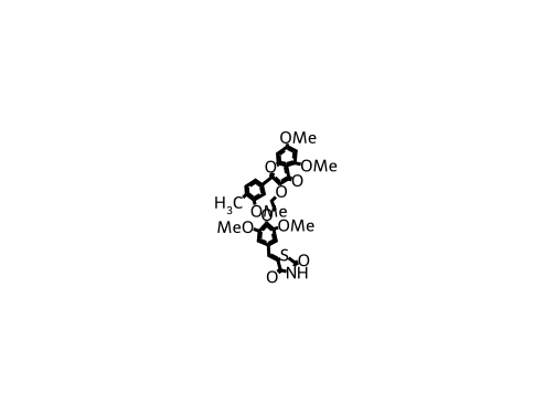 COc1cc(OC)c2c(=O)c(OCCOc3c(OC)cc(/C=C4\SC(=O)NC4=O)cc3OC)c(-c3ccc(C)c(OC)c3)oc2c1